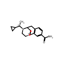 C[C@H](C1CC1)N1CC[C@]23CCCCC2C1Cc1ccc(C(N)=O)cc13